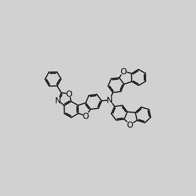 c1ccc(-c2nc3ccc4oc5cc(N(c6ccc7oc8ccccc8c7c6)c6ccc7oc8ccccc8c7c6)ccc5c4c3o2)cc1